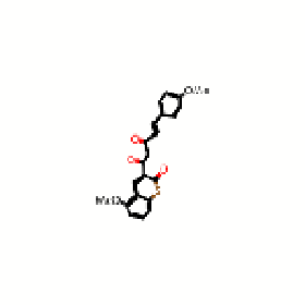 COc1ccc(C=CC(=O)CC(=O)c2cc3c(OC)cccc3sc2=O)cc1